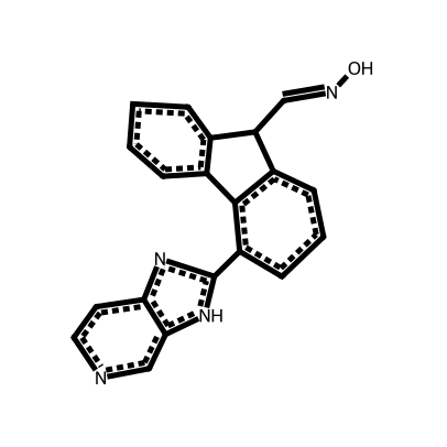 ON=CC1c2ccccc2-c2c(-c3nc4ccncc4[nH]3)cccc21